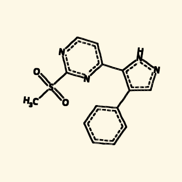 CS(=O)(=O)c1nccc(-c2[nH]ncc2-c2ccccc2)n1